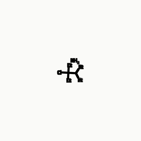 CCC(CC)C(Cl)(CC)CC.N